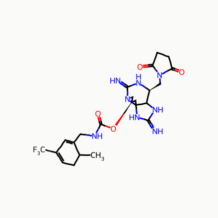 CC1CC=C(C(F)(F)F)C=C1CNC(=O)O[C@H]1CN2C(=N)N[C@@H](CN3C(=O)CCC3=O)C3NC(=N)NC32C1